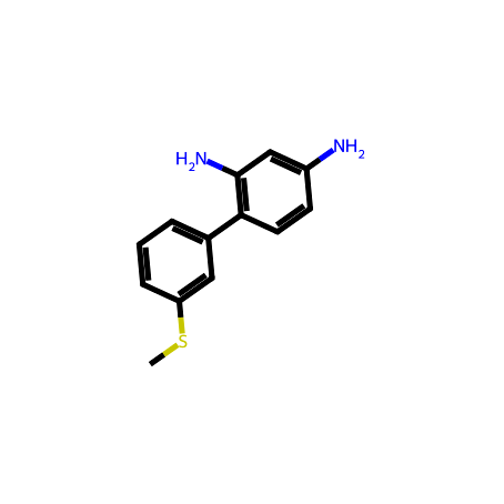 CSc1cccc(-c2ccc(N)cc2N)c1